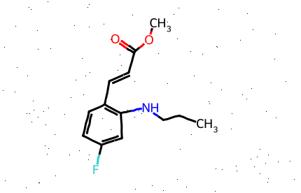 CCCNc1cc(F)ccc1C=CC(=O)OC